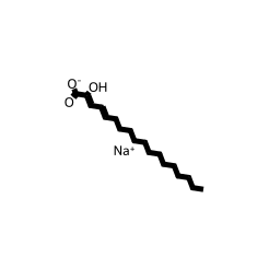 CCCCCCCCCCCCCC=CC=C(O)C(=O)[O-].[Na+]